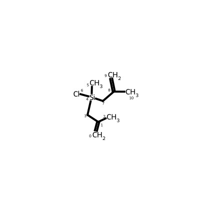 C=C(C)C[Si](C)(Cl)CC(=C)C